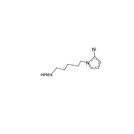 CCCCCCCCCCCn1cccc1[N]